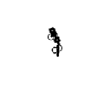 CCCC(=O)OCCc1ccc(N2Cc3ccccc3C2=O)cc1